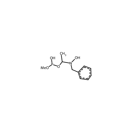 COP(O)OC(C)N(O)Cc1ccccc1